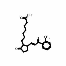 Cc1ccccc1C(=O)C=CC1CCC(=O)C1CCCCCCC(=O)O